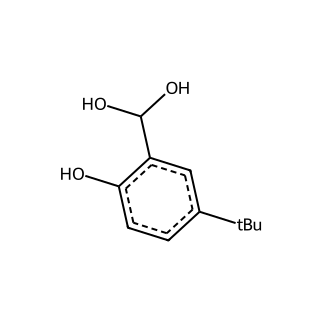 CC(C)(C)c1ccc(O)c(C(O)O)c1